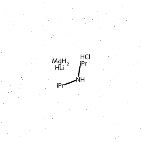 CC(C)NC(C)C.Cl.[LiH].[MgH2]